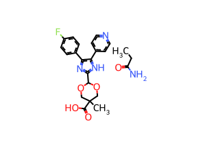 CC1(C(=O)O)COC(c2nc(-c3ccc(F)cc3)c(-c3ccncc3)[nH]2)OC1.CCC(N)=O